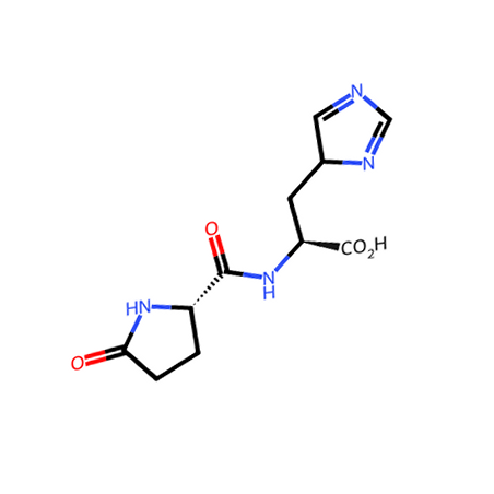 O=C1CC[C@@H](C(=O)N[C@@H](CC2C=NC=N2)C(=O)O)N1